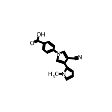 Cn1cccc1-c1cn(-c2ccc(C(=O)O)cc2)cc1C#N